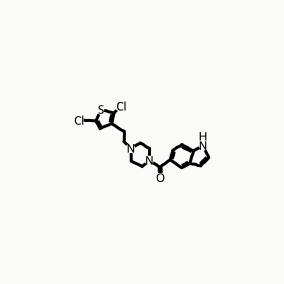 O=C(c1ccc2[nH]ccc2c1)N1CCN(CCc2cc(Cl)sc2Cl)CC1